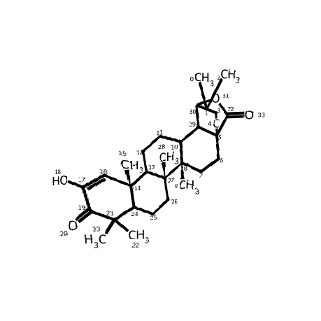 CC1(C)CCC23CC[C@@]4(C)C(CCC5[C@@]6(C)C=C(O)C(=O)C(C)(C)C6CC[C@]54C)C2C1OC3=O